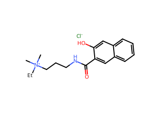 CC[N+](C)(C)CCCNC(=O)c1cc2ccccc2cc1O.[Cl-]